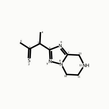 CC(=S)C(C)c1nc2n(n1)CCNC2